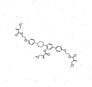 C=C(COC)C(=O)OCCOc1ccc(-c2ccc(C3CCC(c4ccc(OCCOC(=O)C(=C)COC)cc4)CC3)c(OC(=O)C(=C)COC)c2)cc1